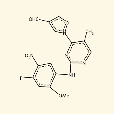 COc1cc(F)c([N+](=O)[O-])cc1Nc1ncc(C)c(-n2cc(C=O)cn2)n1